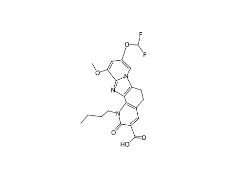 CCCCn1c2c(cc(C(=O)O)c1=O)CCc1c-2nc2c(OC)cc(OC(F)F)cn12